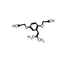 C#CCOc1ccc(OCC#C)c(C=C(C)C)c1